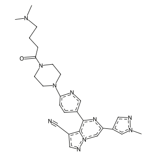 CN(C)CCCC(=O)N1CCN(c2ccc(-c3nc(-c4cnn(C)c4)cn4ncc(C#N)c34)cn2)CC1